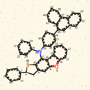 c1ccc(C2Cc3cc4oc5ccccc5c4c(N(c4ccccc4)c4ccc(-c5cc6ccccc6c6ccccc56)cc4)c3S2)cc1